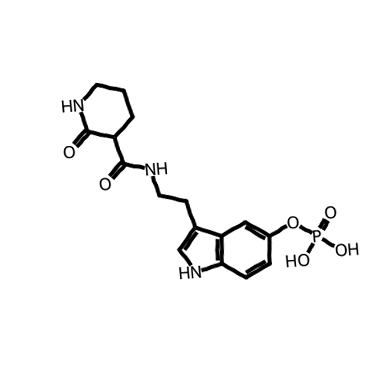 O=C1NCCCC1C(=O)NCCc1c[nH]c2ccc(OP(=O)(O)O)cc12